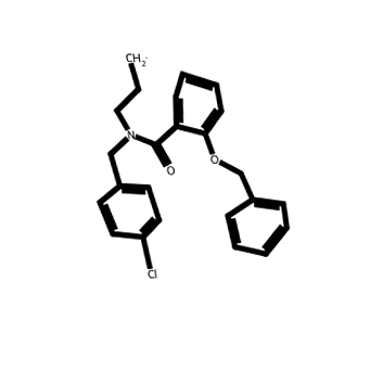 [CH2]CCN(Cc1ccc(Cl)cc1)C(=O)c1ccccc1OCc1ccccc1